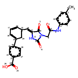 Cc1ccc(NC(=O)CN2C(=O)N/C(=C\C3C=CC=C(c4ccc(C(=O)O)cc4)C3)C2=O)cc1